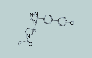 O=C(C1CC1)N1CC[C@H](Cn2cnnc2-c2ccc(-c3ccc(Cl)cc3)cc2)C1